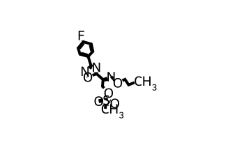 CCCON=C(COS(C)(=O)=O)c1nc(-c2ccc(F)cc2)no1